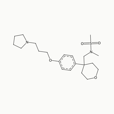 CN(CC1(c2ccc(OCCCN3CCCC3)cc2)CCOCC1)S(C)(=O)=O